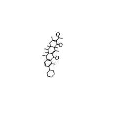 CC(=O)C1=C(C)CC2(C)C(C)C3(C)C(=C(C)C2(C)C1=O)C(=O)c1c(ccc(C2CCCCC2)c1C)C3C